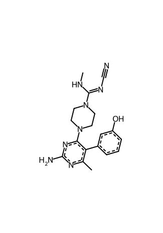 CN/C(=N\C#N)N1CCN(c2nc(N)nc(C)c2-c2cccc(O)c2)CC1